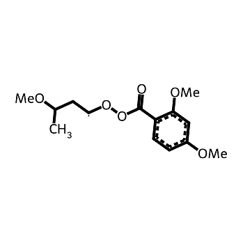 COc1ccc(C(=O)OO[CH]CC(C)OC)c(OC)c1